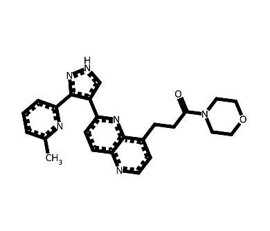 Cc1cccc(-c2n[nH]cc2-c2ccc3nccc(CCC(=O)N4CCOCC4)c3n2)n1